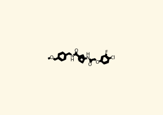 COCc1ccc(CNC(=O)C2CC3(NC(=O)COc4ccc(Cl)c(F)c4)CC2C3)cc1